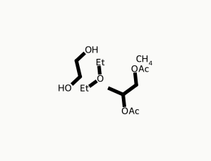 C.CC(=O)OCC(C)OC(C)=O.CCOCC.OCCO